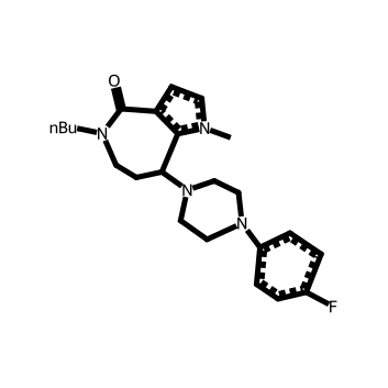 CCCCN1CCC(N2CCN(c3ccc(F)cc3)CC2)c2c(ccn2C)C1=O